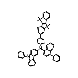 CC1(C)C2=C(c3ccccc31)C(C)(C)c1cc(-c3ccc(N(c4ccc5c(c4)c4ccccc4n5-c4ccccc4)c4ccc(-c5ccccc5)c5ccccc45)cc3)ccc12